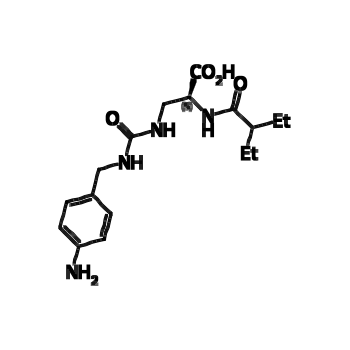 CCC(CC)C(=O)N[C@@H](CNC(=O)NCc1ccc(N)cc1)C(=O)O